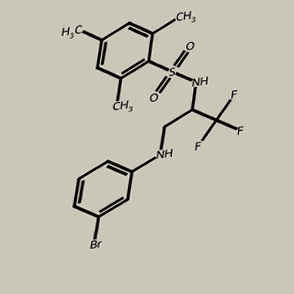 Cc1cc(C)c(S(=O)(=O)NC(CNc2cccc(Br)c2)C(F)(F)F)c(C)c1